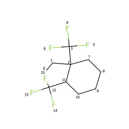 CCC1(C(F)(F)F)CCCCC1C(F)(F)F